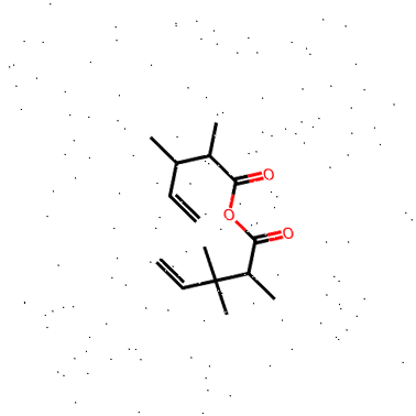 C=CC(C)C(C)C(=O)OC(=O)C(C)C(C)(C)C=C